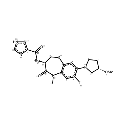 CO[C@H]1CCN(c2cc3c(cc2F)N(C)C(=O)[C@@H](NC(=O)c2nc[nH]n2)CS3)C1